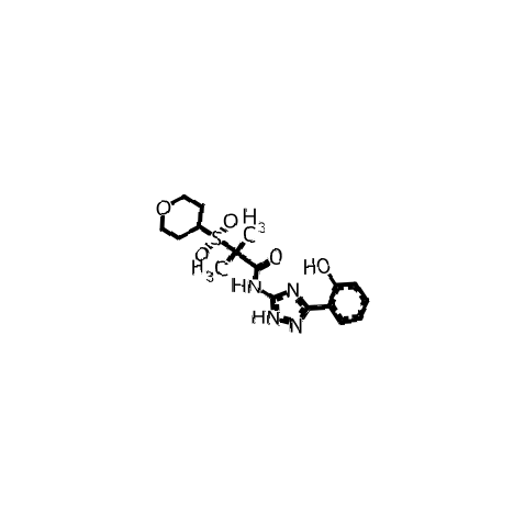 CC(C)(C(=O)Nc1nc(-c2ccccc2O)n[nH]1)S(=O)(=O)C1CCOCC1